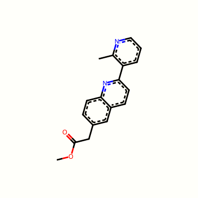 COC(=O)Cc1ccc2nc(-c3cccnc3C)ccc2c1